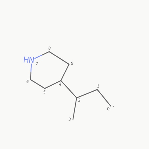 [CH2]CC(C)C1CCNCC1